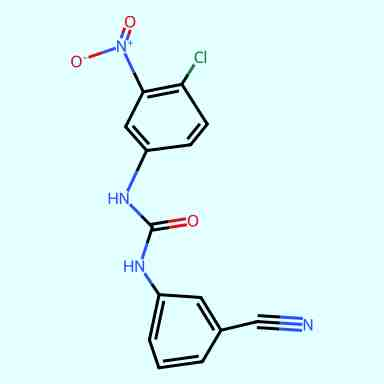 N#Cc1cccc(NC(=O)Nc2ccc(Cl)c([N+](=O)[O-])c2)c1